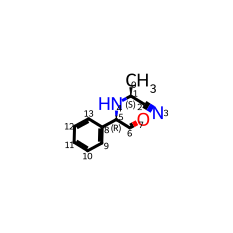 C[C@@H](C#N)N[C@@H](C=O)c1ccccc1